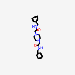 O=C(CN1CCN(CC(=O)NCc2ccccc2)CC1)NCc1ccccc1